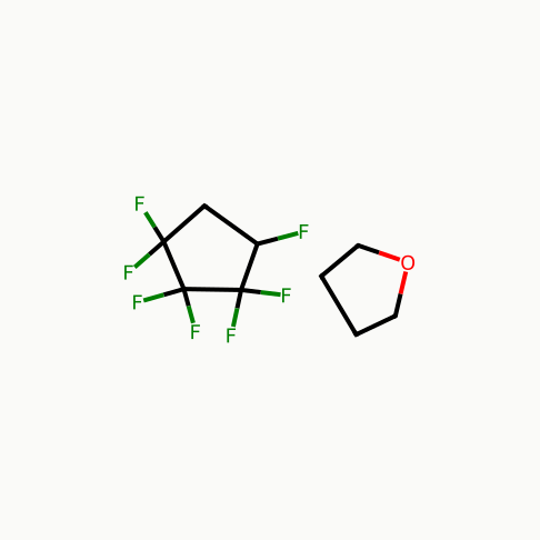 C1CCOC1.FC1CC(F)(F)C(F)(F)C1(F)F